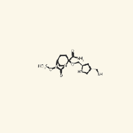 NC(=O)C1(OC[C@H]2C[C@H](CS)CN2)CCC2CN1C(=O)N2OS(=O)(=O)O